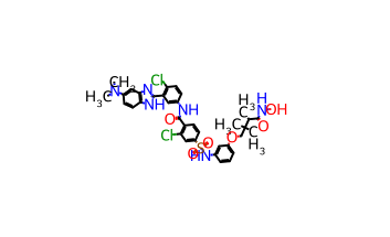 CC(C(=O)NO)C(C)(C)COc1cccc(NS(=O)(=O)c2ccc(C(=O)Nc3ccc(Cl)c(-c4nc5cc(N(C)C)ccc5[nH]4)c3)c(Cl)c2)c1